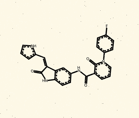 O=C1Nc2ccc(NC(=O)c3cccn(-c4ccc(F)cc4)c3=O)cc2/C1=C/c1ccc[nH]1